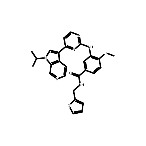 COc1ccc(C(=O)NCc2ccco2)cc1Nc1nccc(-c2cn(C(C)C)c3cnccc23)n1